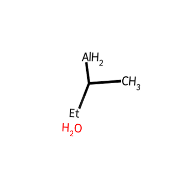 CC[CH](C)[AlH2].O